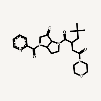 CC(C)(C)CC(CC(=O)N1CCOCC1)C(=O)N1CCC2C1C(=O)CN2C(=O)c1ccccn1